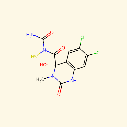 CN1C(=O)Nc2cc(Cl)c(Cl)cc2C1(O)C(=O)N(S)C(N)=O